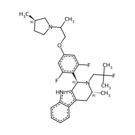 CC(COc1cc(F)c([C@@H]2c3[nH]c4ccccc4c3C[C@@H](C)N2CC(C)(C)F)c(F)c1)N1CC[C@@H](C)C1